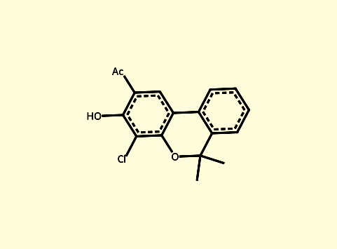 CC(=O)c1cc2c(c(Cl)c1O)OC(C)(C)c1ccccc1-2